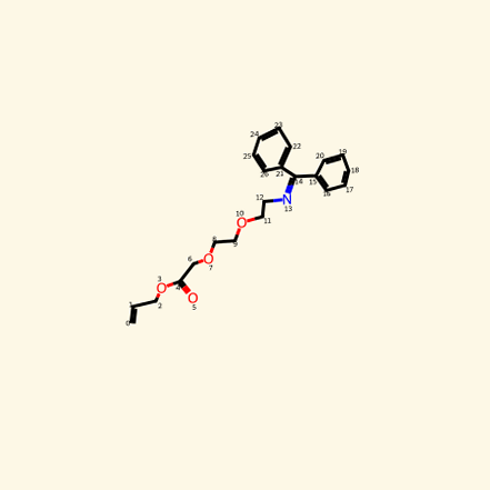 C=CCOC(=O)COCCOCCN=C(c1ccccc1)c1ccccc1